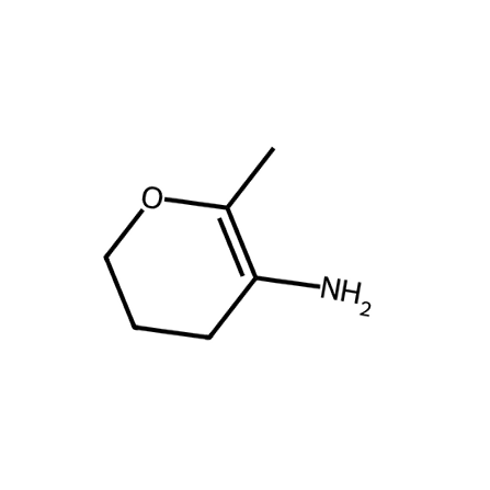 CC1=C(N)CCCO1